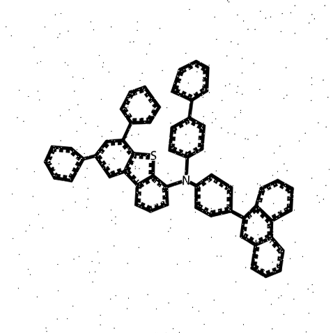 c1ccc(-c2ccc(N(c3ccc(-c4cc5ccccc5c5ccccc45)cc3)c3cccc4c3sc3c(-c5ccccc5)cc(-c5ccccc5)cc34)cc2)cc1